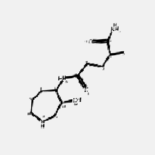 CC(C[CH]C(=O)NC1CCCNC[C@@H]1O)C(N)=O